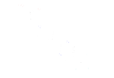 O=C(O)C[n+]1ccc(-c2ncc(C(F)(F)F)cn2)cc1